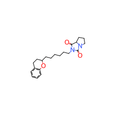 O=C1C2CCCN2C(=O)N1CCCCCCC1CCc2ccccc2O1